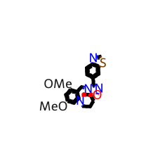 COc1ccc(CN2C(c3ccc4ncsc4c3)=NOC23CN2CCC3CC2)c(OC)c1